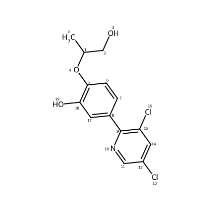 CC(CO)Oc1ccc(-c2ncc(Cl)cc2Cl)cc1O